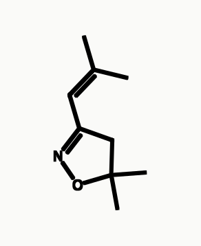 CC(C)=CC1=NOC(C)(C)C1